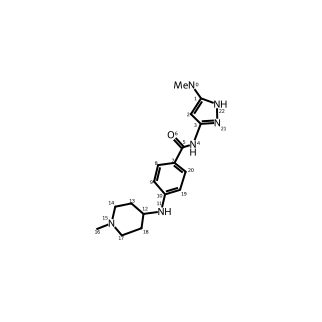 CNc1cc(NC(=O)c2ccc(NC3CCN(C)CC3)cc2)n[nH]1